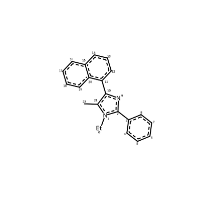 CCn1c(-c2ccccc2)nc(-c2cccc3ccccc23)c1C